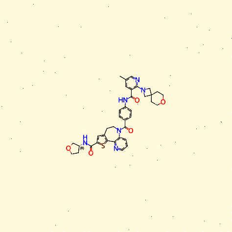 Cc1cnc(N2CC3(CCOCC3)C2)c(C(=O)Nc2ccc(C(=O)N3CCc4cc(C(=O)N[C@@H]5CCOC5)sc4-c4ncccc43)cc2)c1